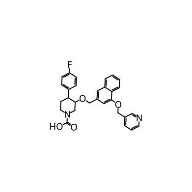 O=C(O)N1CCC(c2ccc(F)cc2)C(OCc2cc(OCc3cccnc3)c3ccccc3c2)C1